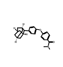 CN(C)C(=O)c1ccc(Oc2ccc(C3[C@H]4C[C@@H]5C[C@@H](C[C@H]3C5)C4)cc2)cc1